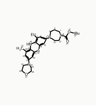 CCc1cc(N2CCCN(C(=O)OC(C)(C)C)CC2)cc2c1Nc1c(C)cc(N3CCOCC3)cc1S2